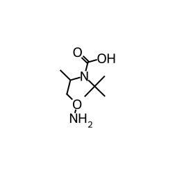 CC(CON)N(C(=O)O)C(C)(C)C